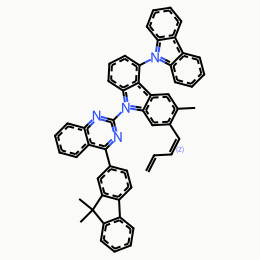 C=C/C=C\c1cc2c(cc1C)c1c(-n3c4ccccc4c4ccccc43)cccc1n2-c1nc(-c2ccc3c(c2)C(C)(C)c2ccccc2-3)c2ccccc2n1